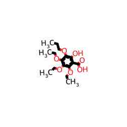 CCCOc1c(O)c(C(=O)O)c(OCC)c(OCC)c1OCC